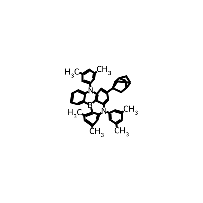 Cc1cc(C)cc(N2c3ccccc3B3c4c(C)cc(C)cc4N(c4cc(C)cc(C)c4)c4cc(C56CC7CC(C5)C(C7)C6)cc2c43)c1